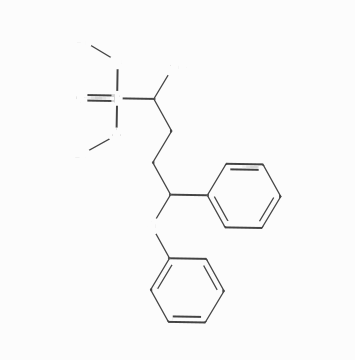 CCOP(=O)(OCC)C(CCC(Oc1ccccc1)c1ccccc1)S(=O)(=O)O